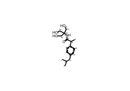 CC(C)Cc1ccc(C(C)C(=O)NC(CO)(CO)CO)cc1